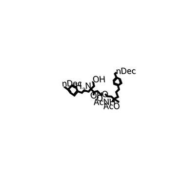 CCCCCCCCCCCc1ccc(CCCC(CCOC(=O)CC(O)C(N)(CCO)CCCc2ccc(CCCCCCCCCCC)cc2)(COC(C)=O)NC(C)=O)cc1